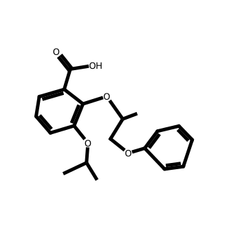 CC(C)Oc1cccc(C(=O)O)c1OC(C)COc1ccccc1